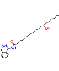 CCCCCCC(O)CCCCCCCCCCC(=O)NCc1ccccc1CN